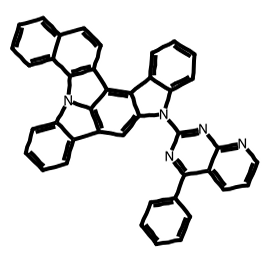 c1ccc(-c2nc(-n3c4ccccc4c4c5c6ccc7ccccc7c6n6c7ccccc7c(cc43)c56)nc3ncccc23)cc1